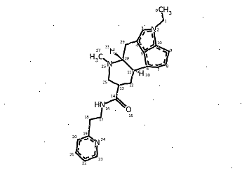 CCn1cc2c3c(cccc31)[C@H]1CC(C(=O)NCCc3ccccn3)CN(C)[C@@H]1C2